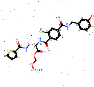 CCOC(=O)OCOC(=O)[C@H](CNC(=O)c1cccs1)NC(=O)c1ccc(C(=O)NCc2cccc(O)c2)cc1Cl